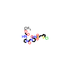 CCOCC(=O)NC[C@H]1CCCN1C(=O)CN1CCC[C@H](NS(=O)(=O)/C=C/c2ccc(Cl)s2)C1=O